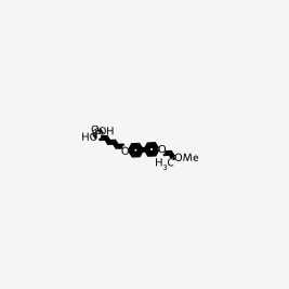 COC(C)CCOc1ccc(-c2ccc(OCCCCCCP(=O)(O)O)cc2)cc1